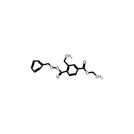 CCOC(=O)c1ccc(C(=O)OOCc2ccccc2)c(CC)c1